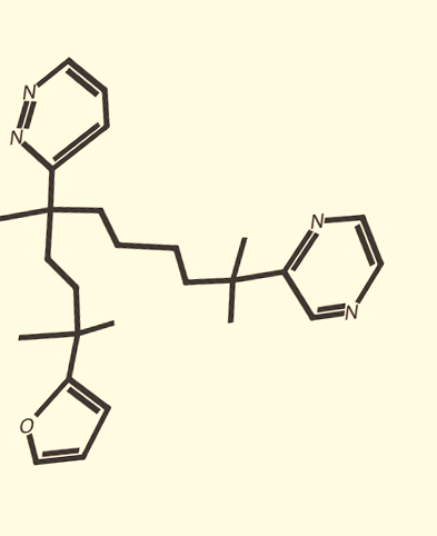 CC(C)(CCCCC(C)(CCC(C)(C)c1ccco1)c1cccnn1)c1cnccn1